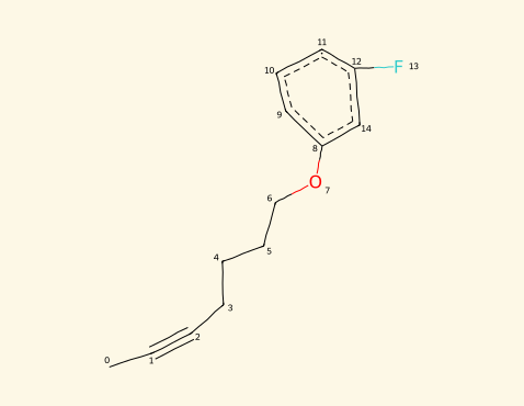 CC#CCCCCOc1cc[c]c(F)c1